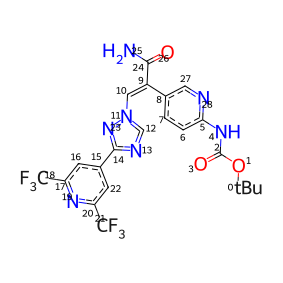 CC(C)(C)OC(=O)Nc1ccc(/C(=C\n2cnc(-c3cc(C(F)(F)F)nc(C(F)(F)F)c3)n2)C(N)=O)cn1